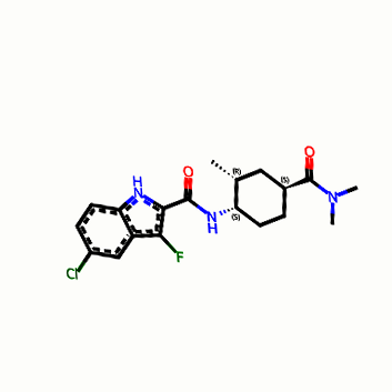 C[C@@H]1C[C@@H](C(=O)N(C)C)CC[C@@H]1NC(=O)c1[nH]c2ccc(Cl)cc2c1F